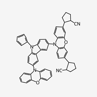 N#CC1CCCC1c1ccc2c(c1)Oc1cc(C3CCCC3C#N)ccc1N2c1ccc2c(c1)c1cc(N3c4ccccc4Oc4ccccc43)ccc1n2-c1ccccc1